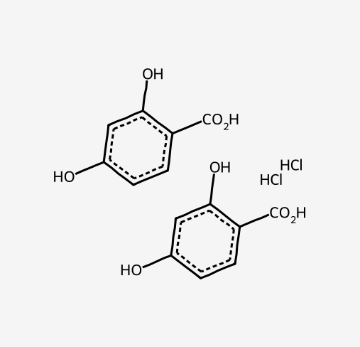 Cl.Cl.O=C(O)c1ccc(O)cc1O.O=C(O)c1ccc(O)cc1O